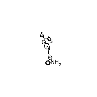 Nc1ccccc1OCC=CCN1CCC(OC(c2ccsc2)c2ccsc2)CC1